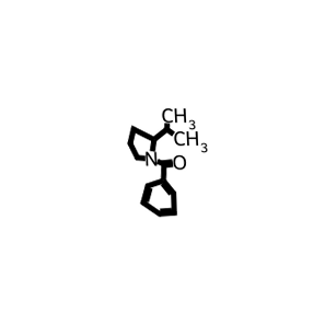 CC(C)C1CCCN1C(=O)c1ccccc1